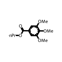 CC[CH]OC(=O)c1cc(OC)c(OC)c(OC)c1